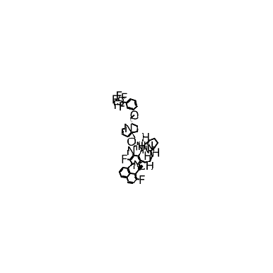 C#Cc1c(F)ccc2cccc(-c3nc4c5c(nc(OC[C@@]67CCCN6[C@H](COc6cccc(S(F)(F)(F)(F)F)c6)CC7)nc5c3F)N3C[C@H]5CC[C@H](N5)[C@H]3CCC4)c12